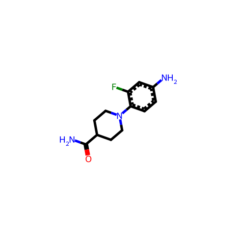 NC(=O)C1CCN(c2ccc(N)cc2F)CC1